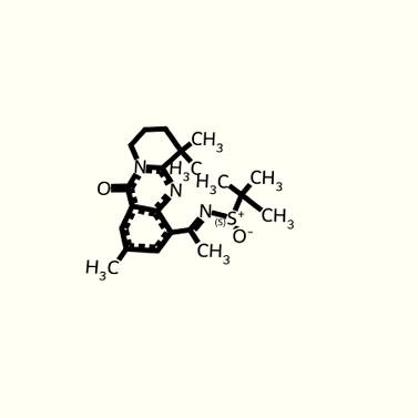 CC(=N[S@+]([O-])C(C)(C)C)c1cc(C)cc2c(=O)n3c(nc12)C(C)(C)CCC3